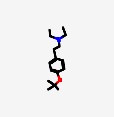 CCN(CC)CCc1ccc(OC(C)(C)C)cc1